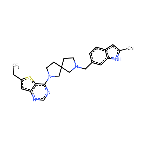 N#Cc1cc2ccc(CN3CCC4(CCN(c5ncnc6cc(CC(F)(F)F)sc56)C4)C3)cc2[nH]1